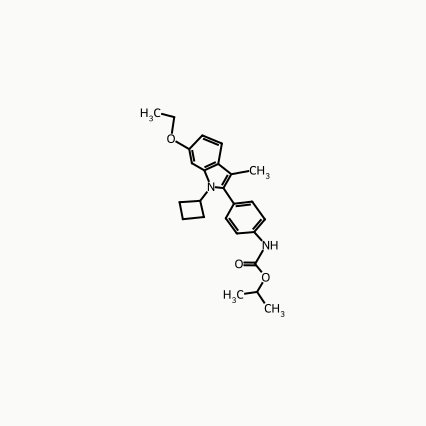 CCOc1ccc2c(C)c(-c3ccc(NC(=O)OC(C)C)cc3)n(C3CCC3)c2c1